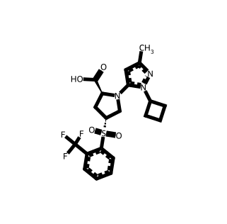 Cc1cc(N2C[C@H](S(=O)(=O)c3ccccc3C(F)(F)F)C[C@H]2C(=O)O)n(C2CCC2)n1